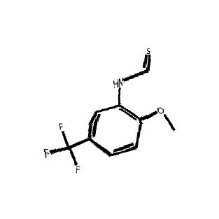 COc1ccc(C(F)(F)F)cc1NC=S